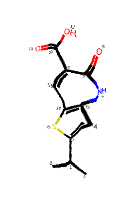 CC(C)c1cc2[nH]c(=O)c(C(=O)O)cc2s1